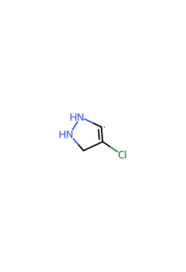 ClC1=[C]NNC1